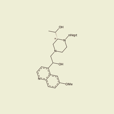 CCCCCCCN1CCN(CC(O)c2ccnc3ccc(OC)cc23)C[C@@H]1C(C)O